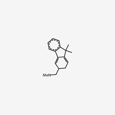 CNCC1C=C2C(=CC1)C(C)(C)c1ccccc12